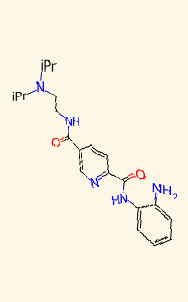 CC(C)N(CCNC(=O)c1ccc(C(=O)Nc2ccccc2N)nc1)C(C)C